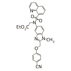 CCOC(=O)CN(c1ccc2c(c1)nc(COc1ccc(C#N)cc1)n2C)S(=O)(=O)c1cccc2cccnc12